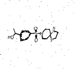 CC(O)c1ccc(S(=O)(=O)N2CCC3(CC2)NCCS3)cc1